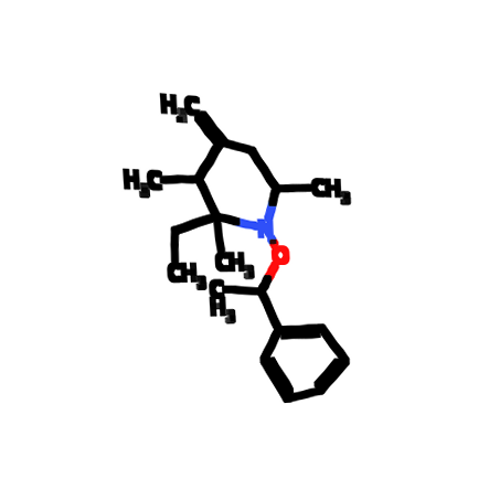 C=C1CC(C)N(OC(C)c2ccccc2)C(C)(CC)C1C